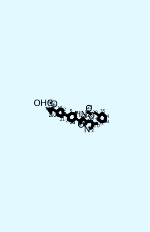 Cc1cnc2oc(-c3ccc(-c4ccc(C5(OC=O)CC5)cc4)cc3)c(NC(=O)OCc3ccccc3)c2c1